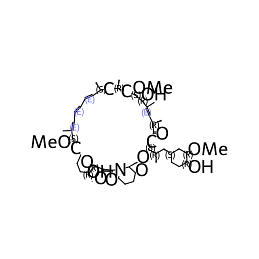 CO[C@H]1CC2CC[C@@H](C)[C@@](O)(O2)C(=O)C(=O)N2CCCCC2C(=O)O[C@H]([C@H](C)C[C@@H]2CC[C@@H](O)[C@H](OC)C2)CC(=O)[C@H](C)/C=C(\C)[C@@H](O)[C@@H](OC)C[C@H](C)C[C@H](C)/C=C/C=C/C=C/1C